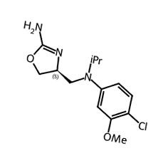 COc1cc(N(C[C@H]2COC(N)=N2)C(C)C)ccc1Cl